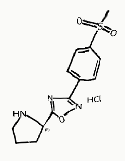 CS(=O)(=O)c1ccc(-c2noc([C@H]3CCCN3)n2)cc1.Cl